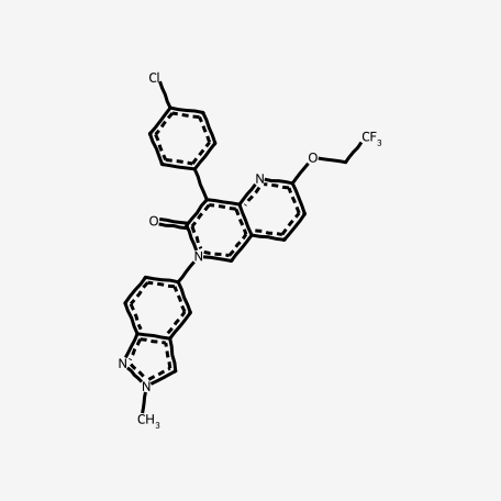 Cn1cc2cc(-n3cc4ccc(OCC(F)(F)F)nc4c(-c4ccc(Cl)cc4)c3=O)ccc2n1